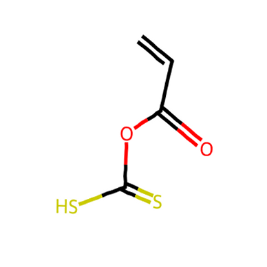 C=CC(=O)OC(=S)S